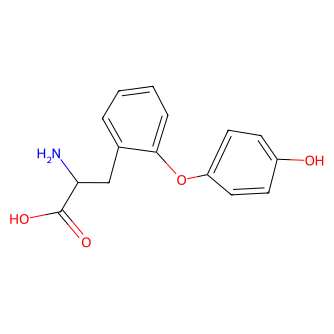 NC(Cc1ccccc1Oc1ccc(O)cc1)C(=O)O